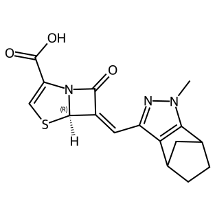 Cn1nc(C=C2C(=O)N3C(C(=O)O)=CS[C@H]23)c2c1C1CCC2C1